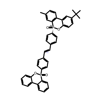 Cc1ccc2c(c1)[P@@](=O)(c1ccc(/C=C/c3ccc(P4(=O)Oc5ccccc5-c5ccccc54)cc3)cc1)Oc1ccc(C(C)(C)C)cc1-2